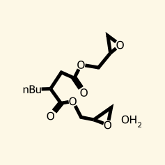 CCCCC(CC(=O)OCC1CO1)C(=O)OCC1CO1.O